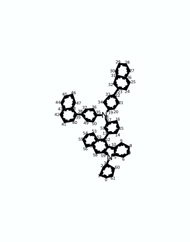 c1ccc(-n2c3ccccc3c3c(-c4cccc(N(c5ccc(-c6ccc7ccccc7c6)cc5)c5ccc(-c6cccc7ccccc67)cc5)c4)c4ccccc4cc32)cc1